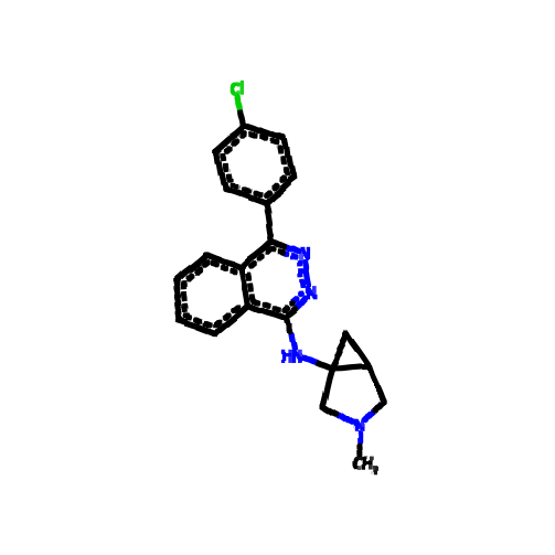 CN1CC2CC2(Nc2nnc(-c3ccc(Cl)cc3)c3ccccc23)C1